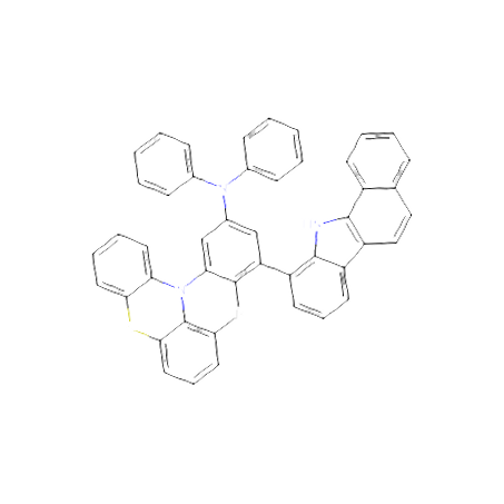 B1c2cccc3c2N(c2ccccc2S3)c2cc(N(c3ccccc3)c3ccccc3)cc(-c3cccc4c3[nH]c3c5ccccc5ccc43)c21